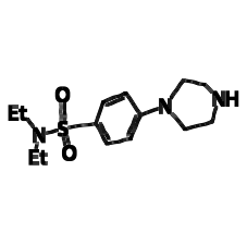 CCN(CC)S(=O)(=O)c1ccc(N2CCNCC2)cc1